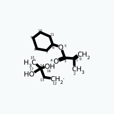 C=C(C)C(=O)OC1CCCCC1.[CH2]CC(C)(O)O